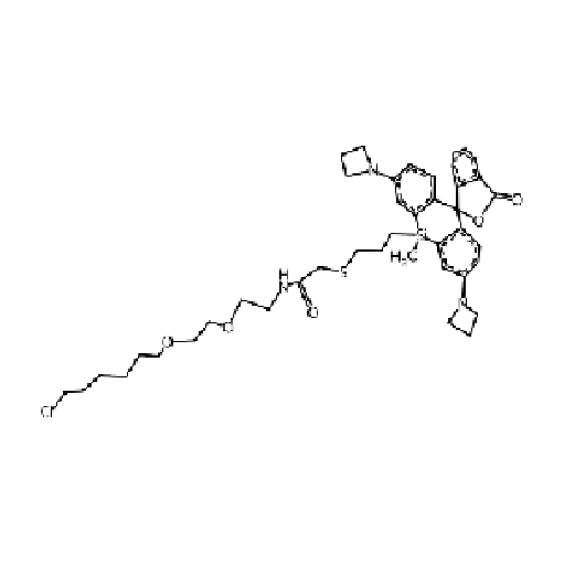 C[Si]1(CCCSCC(=O)NCCOCCOCCCCCCCl)c2cc(N3CCC3)ccc2C2(OC(=O)c3ccccc32)c2ccc(N3CCC3)cc21